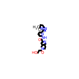 CC1(C)CCc2nnc(-c3cccc(NC(=O)c4cc5c(cn4)CCN(C(=O)CCO)C5)n3)n21